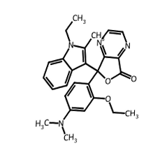 CCOc1cc(N(C)C)ccc1C1(c2c(C)n(CC)c3ccccc23)OC(=O)c2nccnc21